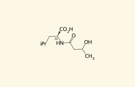 CC(C)C[C@H](NC(=O)CC(C)O)C(=O)O